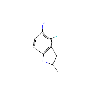 CC1Cc2c(ccc(N)c2F)N1